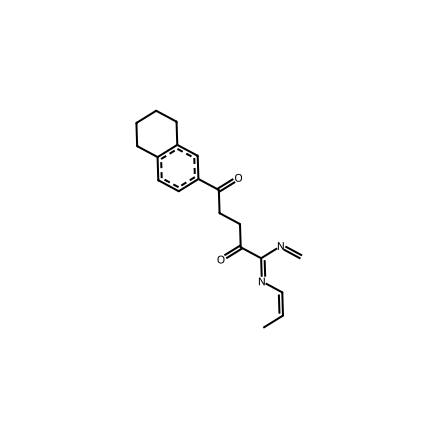 C=N/C(=N\C=C/C)C(=O)CCC(=O)c1ccc2c(c1)CCCC2